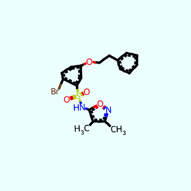 Cc1noc(NS(=O)(=O)c2cc(OCCc3ccccc3)ccc2Br)c1C